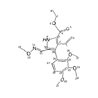 C=Cc1c(C(=O)OCC)[nH]c(/C=N/OC)c1-c1ccc(OC)c(OC)c1OC